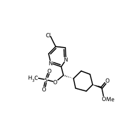 COC(=O)[C@H]1CC[C@H](C(OS(C)(=O)=O)c2ncc(Cl)cn2)CC1